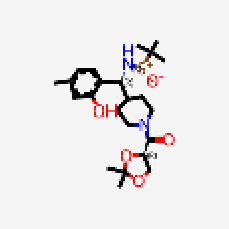 Cc1ccc([C@H](N[S@@+]([O-])C(C)(C)C)C2CCN(C(=O)[C@H]3COC(C)(C)O3)CC2)c(O)c1